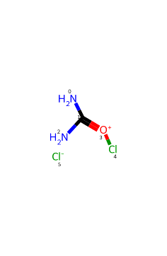 NC(N)=[O+]Cl.[Cl-]